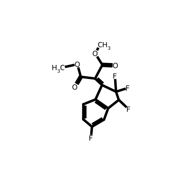 COC(=O)C(C(=O)OC)=C1c2ccc(F)cc2C(F)C1(F)F